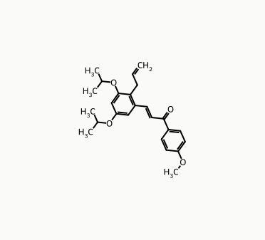 C=CCc1c(C=CC(=O)c2ccc(OC)cc2)cc(OC(C)C)cc1OC(C)C